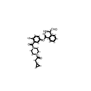 O=CC1NN=C(Oc2ccc(F)c(C(=O)N3CCN(C(=O)CC4CC4)CC3)c2)c2ccccc21